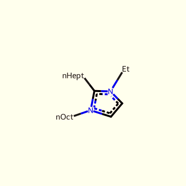 CCCCCCCC[n+]1ccn(CC)c1CCCCCCC